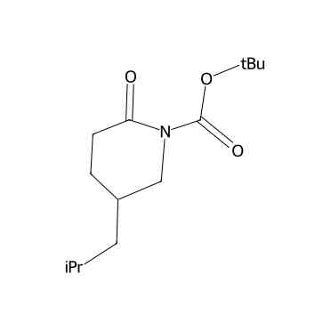 CC(C)CC1CCC(=O)N(C(=O)OC(C)(C)C)C1